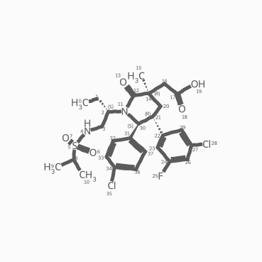 CC[C@@H](CNS(=O)(=O)C(C)C)N1C(=O)[C@@](C)(CC(=O)O)C[C@H](c2cc(F)cc(Cl)c2)[C@H]1c1ccc(Cl)cc1